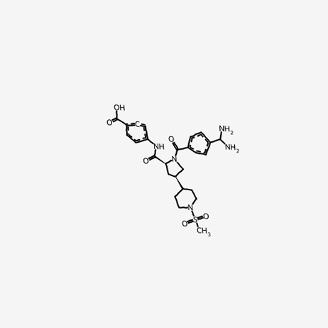 CS(=O)(=O)N1CCC([C@H]2C[C@@H](C(=O)Nc3ccc(C(=O)O)cc3)N(C(=O)c3ccc(C(N)N)cc3)C2)CC1